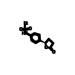 CCS(=O)(=O)Nc1ccc([C@@H]2CCC(=O)O2)cc1